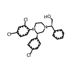 OC[C@@H](c1ccccc1)N1CCN(c2ccc(Cl)cc2Cl)[C@H](c2ccc(Cl)cc2)C1